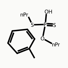 CCCOP(O)(=S)SCCC.Cc1ccccc1